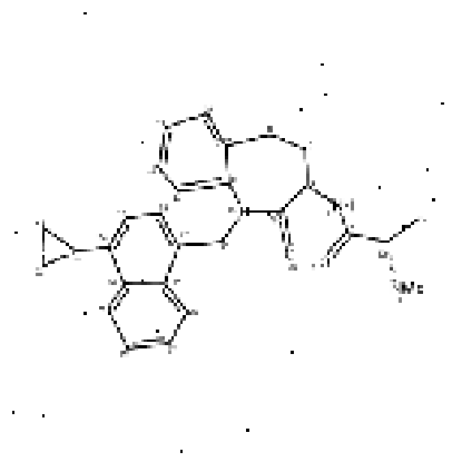 CN[C@@H](C)C(=O)NC1CCc2ccccc2N(Cc2ccc(C3CC3)c3ccccc23)C1=O